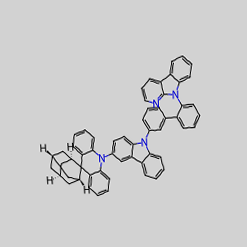 c1cc(-c2ccccc2-n2c3ccccc3c3cccnc32)cc(-n2c3ccccc3c3cc(N4c5ccccc5C5(c6ccccc64)[C@H]4C[C@@H]6C[C@@H](C[C@H]5C6)C4)ccc32)c1